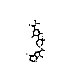 Cc1cc(C(=O)N(C)C)cc(F)c1C1CCN(C(C)c2cc3c(Br)ccnc3n2C)CC1(F)F